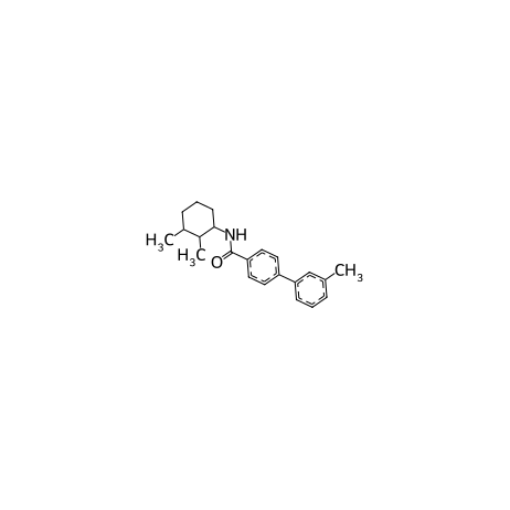 Cc1cccc(-c2ccc(C(=O)NC3CCCC(C)C3C)cc2)c1